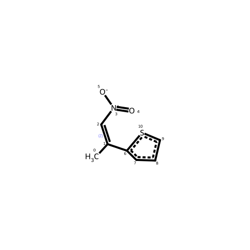 C/C(=C/[N+](=O)[O-])c1cccs1